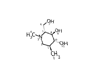 C[C@H]1CN(C)[C@H](CO)[C@@H](O)[C@@H]1O